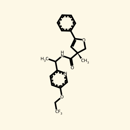 CC(NC(=O)[C@]1(C)C=C(c2ccccc2)OC1)c1ccc(OCC(F)(F)F)cn1